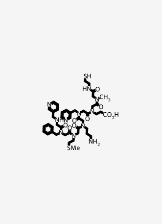 CSCCN(CC(=O)N(CCCN)CC(=O)N(CC(=O)N(CCC(=O)O)CC(=O)N(C)CC(=O)NCCS)Cc1cccnc1)C(=O)CN(Cc1ccccc1)C(=O)CNCc1cccnc1